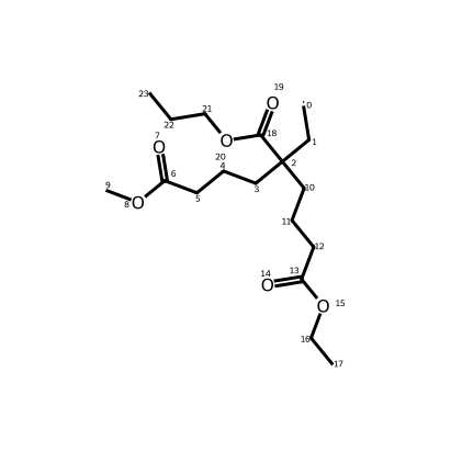 [CH2]CC(CCCC(=O)OC)(CCCC(=O)OCC)C(=O)OCCC